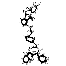 O=C1CCC(N2C(=O)c3cccc(NCCc4cccc(CC(=O)NC(c5cccnc5)c5cc6ccccc6o5)n4)c3C2=O)C(=O)N1